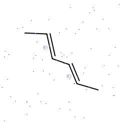 C/[C]=C/C=C/C